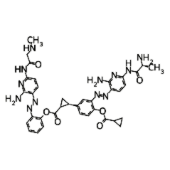 CNCC(=O)Nc1ccc(/N=N/c2ccccc2OC(=O)C2C[C@H]2c2ccc(OC(=O)C3CC3)c(/N=N/c3ccc(NC(=O)[C@H](C)N)nc3N)c2)c(N)n1